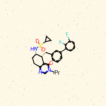 CC(C)n1cnc2c(c1=O)[C@@H](Cc1cccc(-c3cccc(F)c3F)c1)[C@@H](NS(=O)(=O)C1CC1)CC2